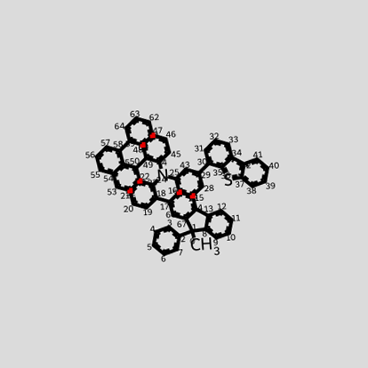 CC1(c2ccccc2)c2ccccc2-c2ccc(-c3ccccc3N(c3cccc(-c4cccc5c4sc4ccccc45)c3)c3ccccc3-c3cccc4cccc(-c5ccccc5)c34)cc21